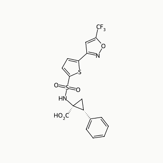 O=C(O)[C@]1(NS(=O)(=O)c2ccc(-c3cc(C(F)(F)F)on3)s2)C[C@@H]1c1ccccc1